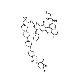 CC(C)(C)OC(=O)Nc1cc(-c2ncc3c(N4CC5CCC(C5)C4)nc(OCC4(CN5CCC6(CCC(N7CCN(c8ccc9c(c8)CN([C@H]8CCC(=O)NC8=O)C9=O)CC7)CC6)CC5)CC4)nc3c2F)c2c(F)c(F)ccc2c1